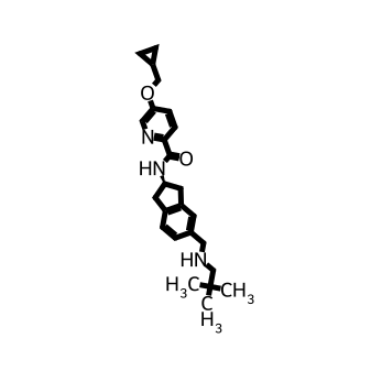 CC(C)(C)CNCc1ccc2c(c1)C[C@H](NC(=O)c1ccc(OCC3CC3)cn1)C2